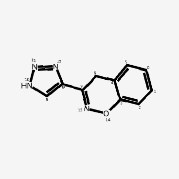 c1ccc2c(c1)CC(c1c[nH]nn1)=NO2